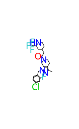 Cc1nn(Cc2ccc(Cl)cc2F)c2c1CCN(C(=O)CC1CCNC(C(F)(F)F)C1)C2